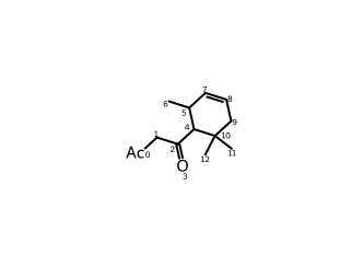 CC(=O)CC(=O)C1C(C)C=CCC1(C)C